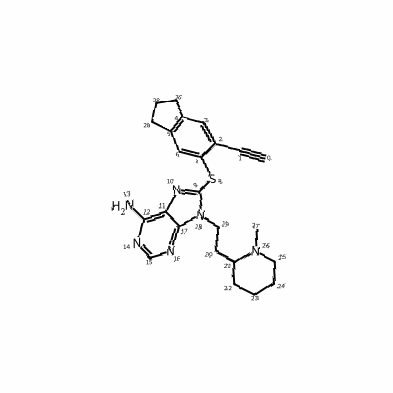 C#Cc1cc2c(cc1Sc1nc3c(N)ncnc3n1CCC1CCCCN1C)CCC2